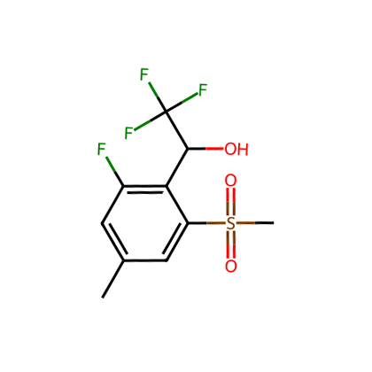 Cc1cc(F)c(C(O)C(F)(F)F)c(S(C)(=O)=O)c1